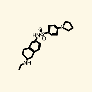 CCNC1CCc2cc(NS(=O)(=O)c3ccc(N4CCCC4)cc3)ccc2C1